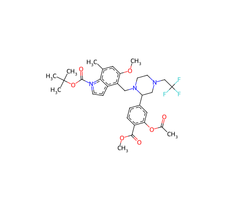 COC(=O)c1ccc(C2CN(CC(F)(F)F)CCN2Cc2c(OC)cc(C)c3c2ccn3C(=O)OC(C)(C)C)cc1OC(C)=O